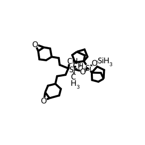 CC(CCC1CCC2OC2C1)(CCC1CCC2OC2C1)[Si](C)(C)O[Si](O[SiH3])(C12CCC(CC1)C2)C12CCC(CC1)C2